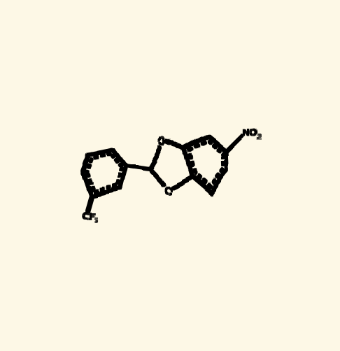 O=[N+]([O-])c1ccc2c(c1)OC(c1cccc(C(F)(F)F)c1)O2